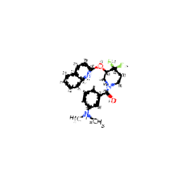 CN(C)c1cccc(C(=O)N2CCC(F)(F)C(Oc3ccc4ccccc4n3)C2)c1